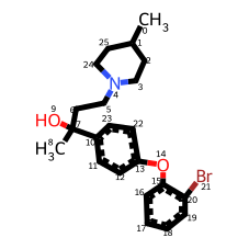 CC1CCN(CCC(C)(O)c2ccc(Oc3ccccc3Br)cc2)CC1